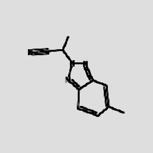 Cc1ccc2nn(C(C)C#N)nc2c1